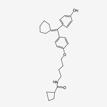 O=C(NCCCCOc1ccc(C(=C2CCCCC2)c2ccc(O)cc2)cc1)C1CCC1